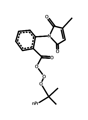 CCCC(C)(C)OOOC(=O)c1ccccc1N1C(=O)C=C(C)C1=O